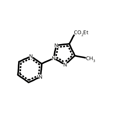 CCOC(=O)c1nn(-c2ncccn2)nc1C